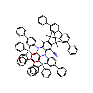 CC1(C)c2c(F)c(N3c4ccc(-c5ccccc5)cc4[Si](c4ccccc4)(c4ccccc4)c4cc(-c5ccccc5)ccc43)c(N3c4ccc(-c5ccccc5)cc4[Si](c4ccccc4)(c4ccccc4)c4cc(-c5ccccc5)ccc43)c(C#N)c2C(C)(C)C12c1cc(-c3ccccc3)ccc1-c1ccc(-c3ccccc3)cc12